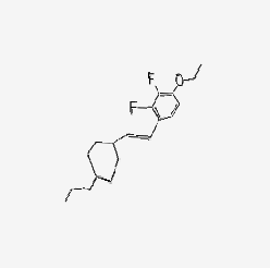 CCCC1CCC(C=Cc2ccc(OCC)c(F)c2F)CC1